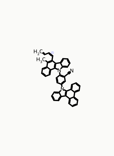 C=C/C=C\c1c(C)c2ccccc2c2c1c1ccccc1n2-c1ccc(-n2c3ccccc3c3c4ccccc4c4ccccc4c32)cc1C#N